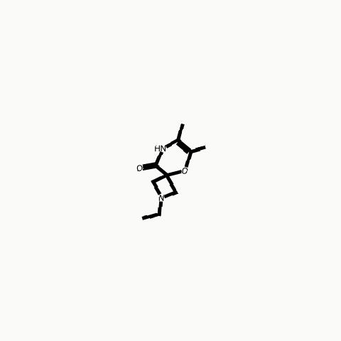 CCN1CC2(C1)OC(C)=C(C)NC2=O